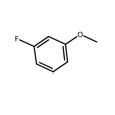 COc1c[c]cc(F)c1